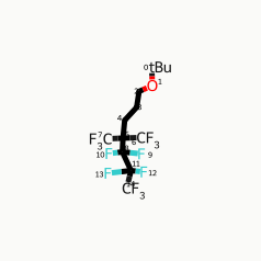 CC(C)(C)OCCCC(C(F)(F)F)(C(F)(F)F)C(F)(F)C(F)(F)C(F)(F)F